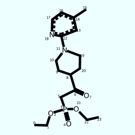 CCOP(=O)(CC(=O)C1CCN(c2cc(C)ccn2)CC1)OCC